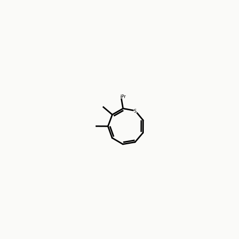 Cc1cccccsc(C(C)C)c1C